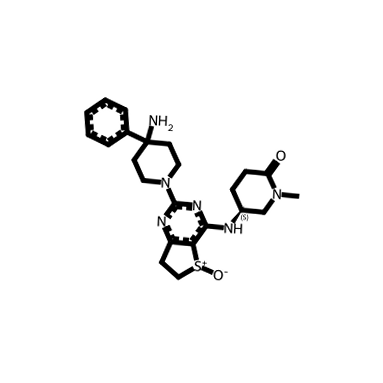 CN1C[C@@H](Nc2nc(N3CCC(N)(c4ccccc4)CC3)nc3c2[S+]([O-])CC3)CCC1=O